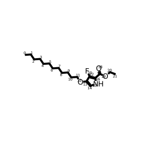 CCCCCCCCCCCCOc1c[nH]c(C(=O)OCC)c1F